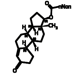 CCCCCCCCCC(=O)O[C@@H]1CC[C@H]2[C@@H]3CCC4=CC(=O)CC[C@@H]4[C@H]3CC[C@]12C